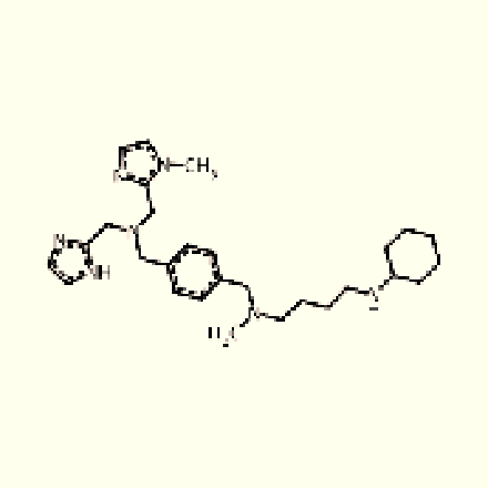 CN(CCCCNC1CCCCC1)Cc1ccc(CN(Cc2ncc[nH]2)Cc2nccn2C)cc1